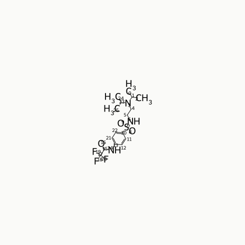 CC(C)N(CCNS(=O)(=O)c1ccc(NC(=O)C(F)(F)F)cc1)C(C)C